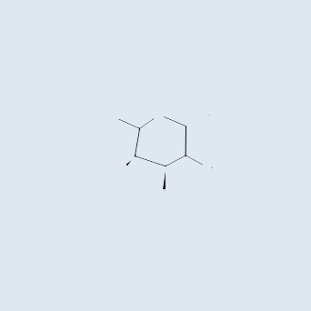 O=C(O)C1O[C@H](O)C(O)[C@@H](O)[C@H]1O